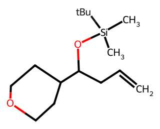 C=CCC(O[Si](C)(C)C(C)(C)C)C1CCOCC1